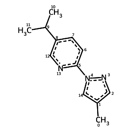 Cc1cnn(-c2ccc(C(C)C)cn2)c1